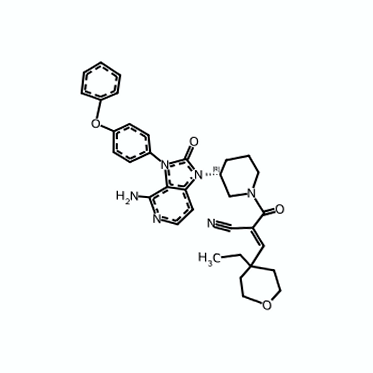 CCC1(C=C(C#N)C(=O)N2CCC[C@@H](n3c(=O)n(-c4ccc(Oc5ccccc5)cc4)c4c(N)nccc43)C2)CCOCC1